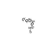 Cc1cccc(C)c1-c1cc(C)c2nc(Nc3ccc(C(=O)NCCN4CCCC4)cc3)nnc2c1